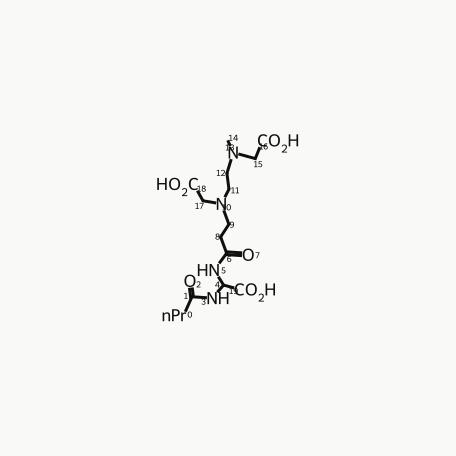 CCCC(=O)NC(NC(=O)CCN(CCN(C)CC(=O)O)CC(=O)O)C(=O)O